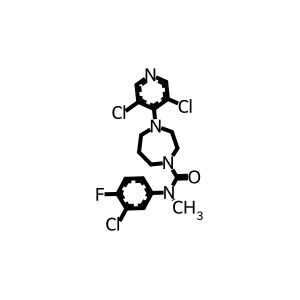 CN(C(=O)N1CCCN(c2c(Cl)cncc2Cl)CC1)c1ccc(F)c(Cl)c1